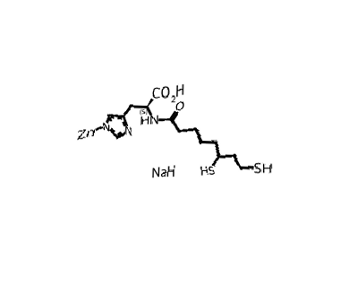 O=C(CCCCC(S)CCS)N[C@@H](Cc1c[n]([Zn])cn1)C(=O)O.[NaH]